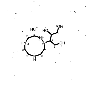 Cl.OCC(O)C(CO)N1CCNCCNCCN1